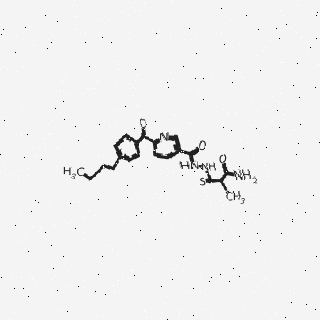 CCCCc1ccc(C(=O)c2ccc(C(=O)NNC(=S)C(C)C(N)=O)cn2)cc1